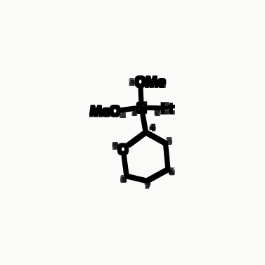 CC[Si](OC)(OC)C1CCCCO1